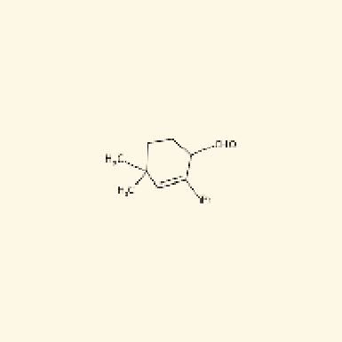 CC(C)C1=CC(C)(C)CCC1C=O